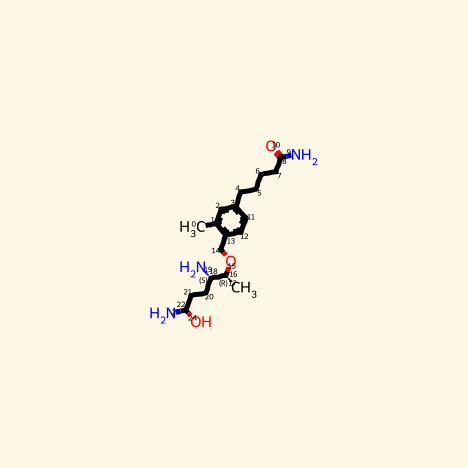 Cc1cc(CCCCC(N)=O)ccc1CO[C@H](C)[C@@H](N)CCC(N)O